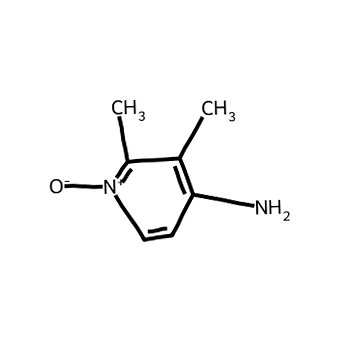 Cc1c(N)cc[n+]([O-])c1C